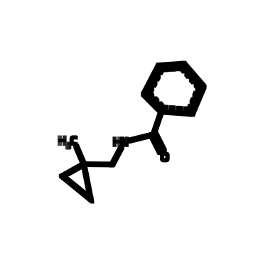 CC1(CNC(=O)c2ccccc2)CC1